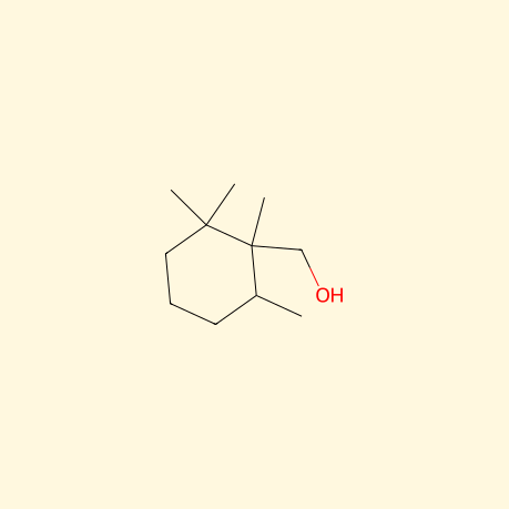 CC1CCCC(C)(C)C1(C)CO